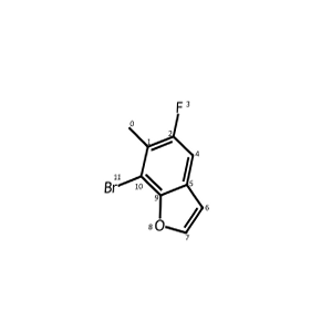 Cc1c(F)cc2ccoc2c1Br